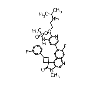 CC(C)NCCOc1ncc(-c2cc3c4c(cnc3cc2F)N(C)C(=O)C42CC(c3cccc(F)c3)C2)cc1NS(C)(=O)=O